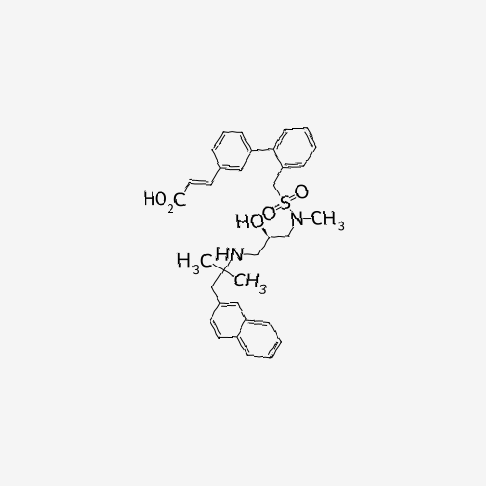 CN(C[C@H](O)CNC(C)(C)Cc1ccc2ccccc2c1)S(=O)(=O)Cc1ccccc1-c1cccc(C=CC(=O)O)c1